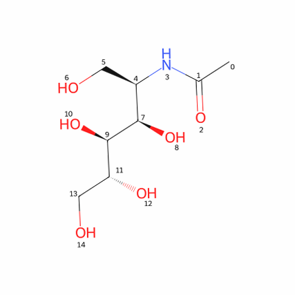 CC(=O)N[C@H](CO)[C@@H](O)[C@H](O)[C@H](O)CO